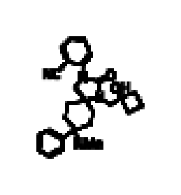 CNC1(c2ccccc2)CCC2(CC1)CN(c1ccccc1C#N)C(=O)N2CC1(O)CCC1